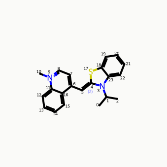 CC(C)N1/C(=C/c2cc[n+](C)c3ccccc23)Sc2ccccc21